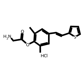 Cc1cc(C=Cc2cccs2)cc(C)c1OC(=O)CN.Cl